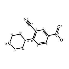 N#Cc1cc([N+](=O)[O-])ccc1N1CCOCC1